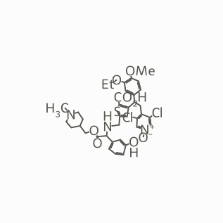 CCOc1cc(C(Cc2c(Cl)c[n+]([O-])cc2Cl)c2cc(CNC(C(=O)OCC3CCN(C)CC3)c3cccc(O)c3)sc2C(=O)O)ccc1OC